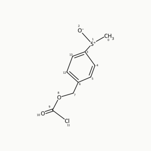 C[S+]([O-])c1ccc(COC(=O)Cl)cc1